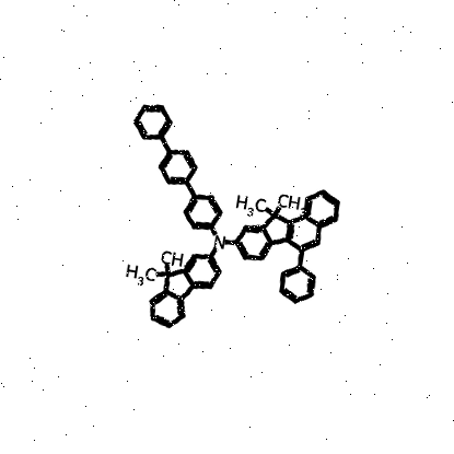 CC1(C)c2ccccc2-c2ccc(N(c3ccc(-c4ccc(-c5ccccc5)cc4)cc3)c3ccc4c(c3)C(C)(C)c3c-4c(-c4ccccc4)cc4ccccc34)cc21